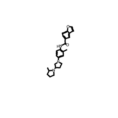 Cc1cc(N2CCC(N3CCCC3C)C2)ccc1NC(=O)c1ccc2occc2c1